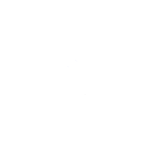 CCCCCc1nc2ccccc2n1S(=O)(=O)O